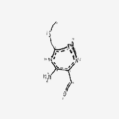 CSc1nnc(C=O)c(N)n1